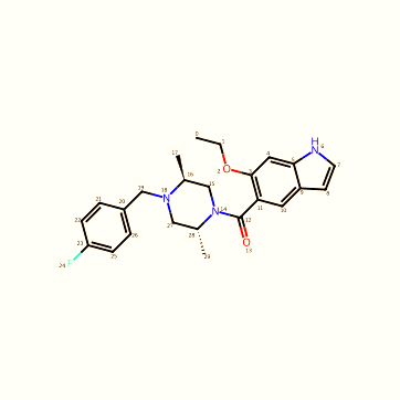 CCOc1cc2[nH]ccc2cc1C(=O)N1C[C@H](C)N(Cc2ccc(F)cc2)C[C@H]1C